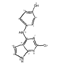 Oc1ccc(Nc2nc(Cl)nc3[nH]cnc23)cc1